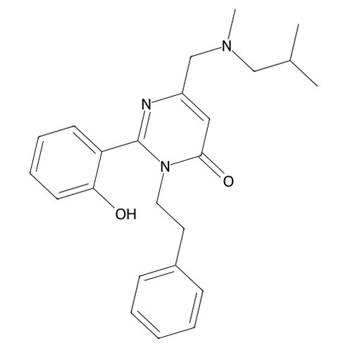 CC(C)CN(C)Cc1cc(=O)n(CCc2ccccc2)c(-c2ccccc2O)n1